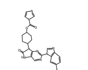 O=C(OC1CCC(n2c(=O)[nH]c3cnc(-n4cnc5ccc(F)cc54)nc32)CC1)n1ccnc1